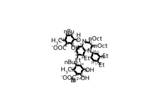 CCCCCCCCC(=Nc1ccc(CC)c(CC)c1)C(CCCCCCCC)=Nc1ccc(CC)c(CC)c1.CCCCc1cc(O)c(O)c(C(=O)[O-])c1C.CCCCc1cc(O)c(O)c(C(=O)[O-])c1C.[Ni+2]